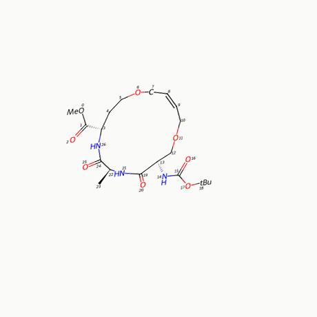 COC(=O)[C@@H]1CCOCC=CCOC[C@H](NC(=O)OC(C)(C)C)C(=O)N[C@@H](C)C(=O)N1